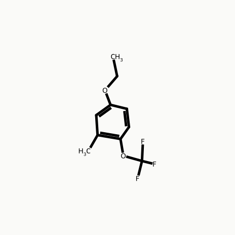 CCOc1ccc(OC(F)(F)F)c(C)c1